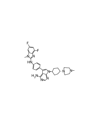 CN1CCN([C@H]2CC[C@H](n3cc(-c4ccc(Nc5nc6c(F)cc(F)cc6n5C)cc4)c4c(N)ncnc43)CC2)CC1